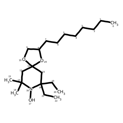 CCCCCCCCC1COC2(CC(C)(C)N(O)C(CC)(CC)C2)O1